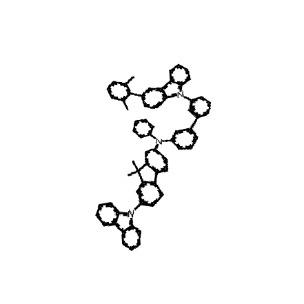 Cc1cccc(C)c1-c1ccc2c(c1)c1ccccc1n2-c1cccc(-c2cccc(N(c3ccccc3)c3ccc4c(c3)C(C)(C)c3cc(-n5c6ccccc6c6ccccc65)ccc3-4)c2)c1